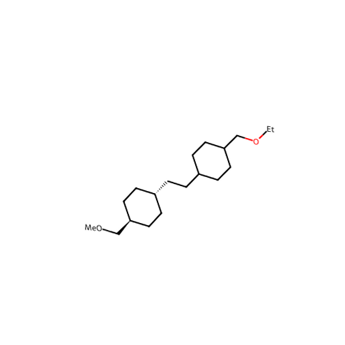 CCOCC1CCC(CC[C@H]2CC[C@H](COC)CC2)CC1